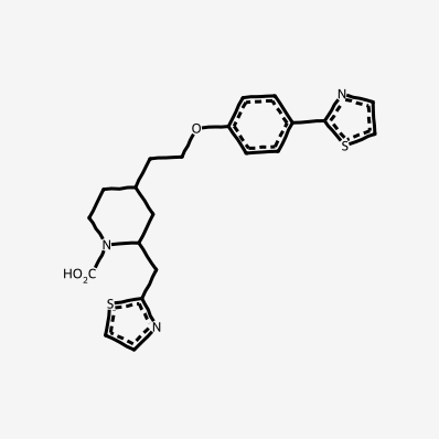 O=C(O)N1CCC(CCOc2ccc(-c3nccs3)cc2)CC1Cc1nccs1